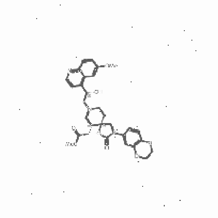 COC(=O)C[C@@H]1CN(C[C@@H](O)c2ccnc3ccc(OC)cc23)CC[C@]12CN(c1ccc3c(c1)OCCO3)C(=O)O2